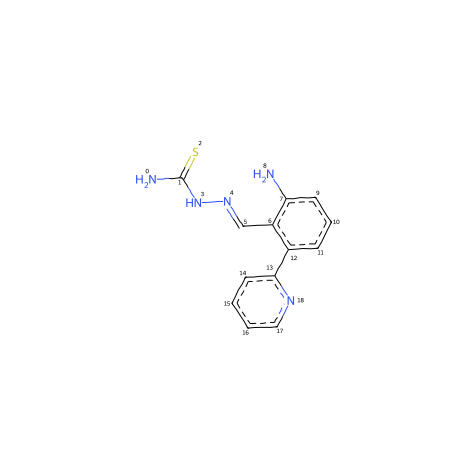 NC(=S)NN=Cc1c(N)cccc1-c1ccccn1